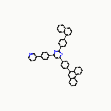 c1cncc(-c2ccc(-c3cc(-c4ccc(-c5cc6ccccc6c6ccccc56)cc4)nc(-c4ccc(-c5cccc6ccccc56)cc4)n3)cc2)c1